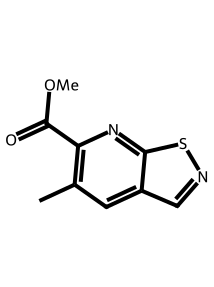 COC(=O)c1nc2sncc2cc1C